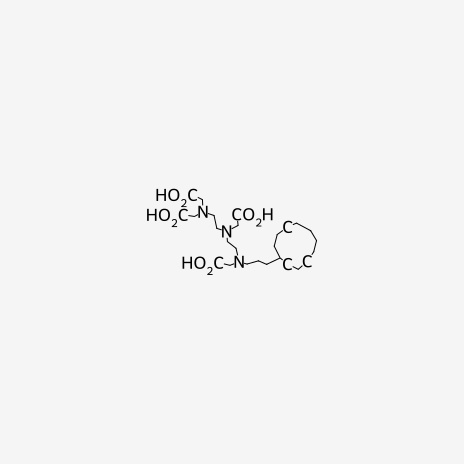 O=C(O)CN(CCCC1CCCCCCCCCC1)CCN(CCN(CC(=O)O)CC(=O)O)CC(=O)O